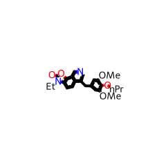 CCCOc1c(OC)cc(Cc2cncc3c2ccc2c3oc(=O)n2CC)cc1OC